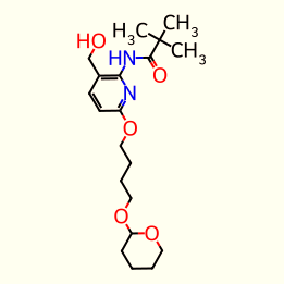 CC(C)(C)C(=O)Nc1nc(OCCCCOC2CCCCO2)ccc1CO